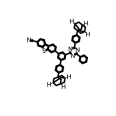 N#Cc1ccc2c(c1)sc1cc(-c3cc(-c4ccc(C56C[C@H]7C[C@@H](C5)C[C@@H](C6)C7)cc4)cc(-c4nc(-c5ccccc5)nc(-c5ccc(C67C[C@H]8C[C@@H](C6)C[C@@H](C7)C8)cc5)n4)c3)ccc12